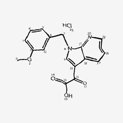 COc1cccc(Cn2cc(C(=O)C(=O)O)c3cccnc32)c1.Cl